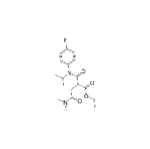 CCOC(=O)C(CC(=O)N(C)C)C(=O)N(c1ccc(F)cc1)C(C)C